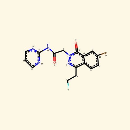 O=C(Cn1nc(CCF)c2ccc(Br)cc2c1=O)Nc1ncccn1